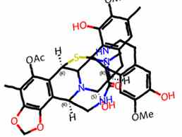 COc1cc2c(cc1O)CCN[C@]21CS[C@@H]2c3c(OC(C)=O)c(C)c4c(c3[C@H](CNC1=O)N1C2C2c3c(cc(C)c(OC)c3O)C[C@@H]([C@@H]1O)N2C)OCO4